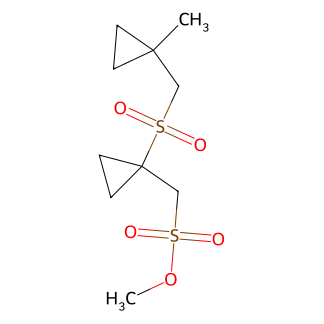 COS(=O)(=O)CC1(S(=O)(=O)CC2(C)CC2)CC1